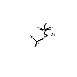 CS(=O)(=O)O.FC(F)F.[Ni]